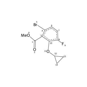 COC(=O)c1c(Br)ccc(F)c1OC1CC1